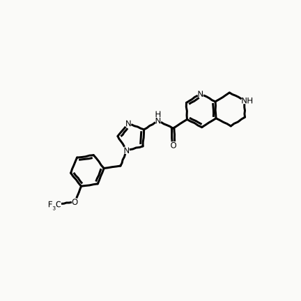 O=C(Nc1cn(Cc2cccc(OC(F)(F)F)c2)cn1)c1cnc2c(c1)CCNC2